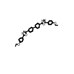 CCOc1ccc(-c2nnc(-c3ccc(-c4ccc(-c5nnc(-c6ccc(OCC)cc6)o5)cc4)cc3)o2)cc1